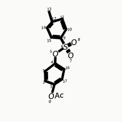 CC(=O)Oc1ccc(OS(=O)(=O)c2ccc(C)cc2)cc1